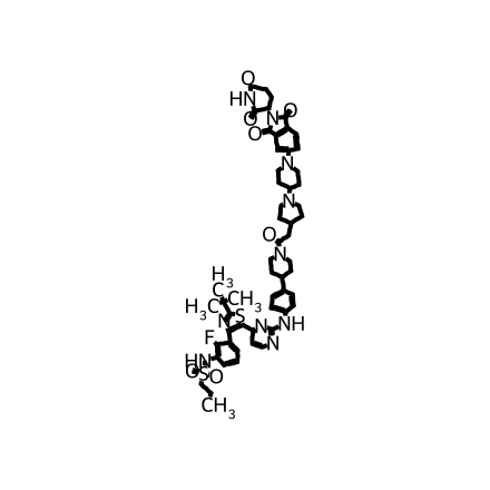 CCCS(=O)(=O)Nc1cccc(-c2nc(C(C)(C)C)sc2-c2ccnc(Nc3ccc(C4CCN(C(=O)CC5CCN(C6CCN(c7ccc8c(c7)C(=O)N([C@@H]7CCC(=O)NC7=O)C8=O)CC6)CC5)CC4)cc3)n2)c1F